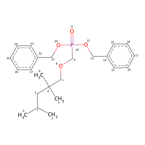 CC(C)CC(C)(C)COCP(=O)(OCc1ccccc1)OCc1ccccc1